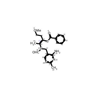 COCC/C(SC(=O)c1ccccc1)=C(\C)N(C=O)Cc1cnc(C)nc1N